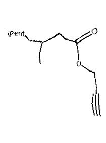 C#CCOC(=O)CC(C)C(C)CCC